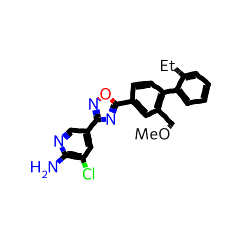 CCc1ccccc1-c1ccc(-c2nc(-c3cnc(N)c(Cl)c3)no2)cc1COC